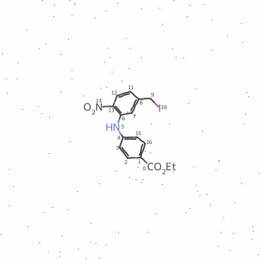 CCOC(=O)c1ccc(Nc2cc(CI)ccc2[N+](=O)[O-])cc1